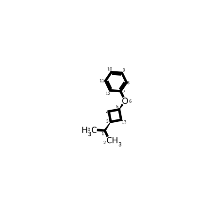 CC(C)[C@H]1C[C@@H](Oc2ccccc2)C1